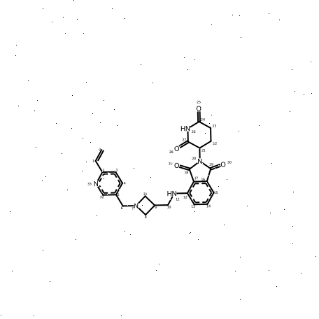 C=Cc1ccc(CN2CC(CNc3cccc4c3C(=O)N(C3CCC(=O)NC3=O)C4=O)C2)cn1